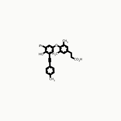 Cc1ccc(C#Cc2cc(Oc3c(C)cc(CCC(=O)O)cc3C)cc(C(C)C)c2O)cc1